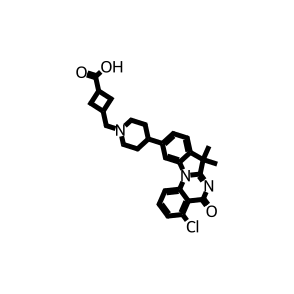 CC1(C)c2ccc(C3CCN(CC4CC(C(=O)O)C4)CC3)cc2-n2c1nc(=O)c1c(Cl)cccc12